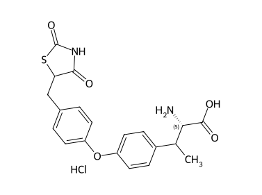 CC(c1ccc(Oc2ccc(CC3SC(=O)NC3=O)cc2)cc1)[C@H](N)C(=O)O.Cl